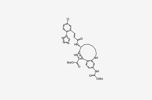 COC(=O)Nc1ccc2c(c1)NCCCCC[C@H](NC(=O)/C=C/c1cc(Cl)ccc1-n1cnnn1)c1nc-2c(C(=O)OC)[nH]1